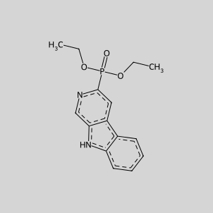 CCOP(=O)(OCC)c1cc2c(cn1)[nH]c1ccccc12